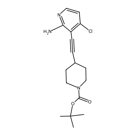 CC(C)(C)OC(=O)N1CCC(C#Cc2c(Cl)ccnc2N)CC1